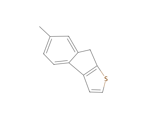 Cc1ccc2c(c1)Cc1sccc1-2